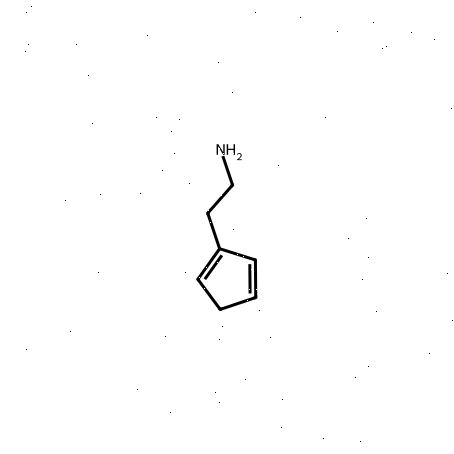 NCCC1=CCC=C1